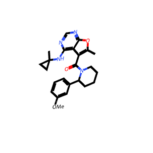 COc1cccc(C2CCCCN2C(=O)c2c(C)oc3ncnc(NC4(C)CC4)c23)c1